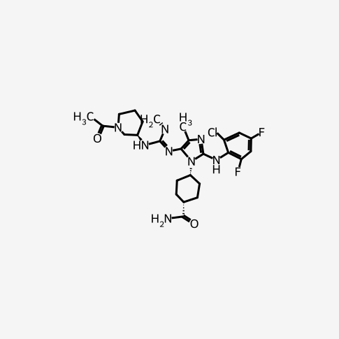 C=N/C(=N\c1c(C)nc(Nc2c(F)cc(F)cc2Cl)n1[C@H]1CC[C@@H](C(N)=O)CC1)N[C@@H]1CCCN(C(C)=O)C1